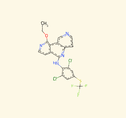 CCOc1nccc2c(Nc3c(Cl)cc(SC(F)(F)F)cc3Cl)nc3ccncc3c12